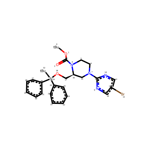 CC(C)(C)OC(=O)N1CCN(c2ncc(Br)cn2)C[C@H]1CO[Si](c1ccccc1)(c1ccccc1)C(C)(C)C